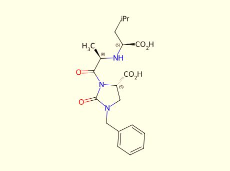 CC(C)C[C@H](N[C@H](C)C(=O)N1C(=O)N(Cc2ccccc2)C[C@H]1C(=O)O)C(=O)O